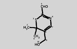 CC1(C)SC(C=O)=NC=C1CO